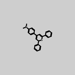 CN(C)c1ccc(C2=CC(c3ccccc3)SC(c3ccccc3)=C2)cc1